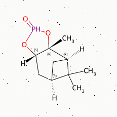 CC1(C)[C@H]2C[C@@H]3O[PH](=O)O[C@]3(C)[C@@H]1C2